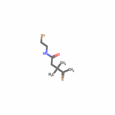 CC(=S)C(C)(C)CC(=O)NCCS